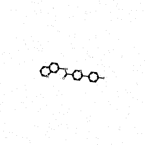 O=C(Nc1ccc2cccnc2c1)c1ccc(-c2ccc(F)cc2)nc1